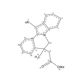 CCCc1c2n(c3ccccc13)CC(C)(CC(=O)OC)c1ccccc1-2